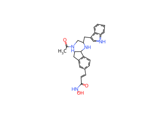 CC(=O)NCC(Cc1c[nH]c2ccccc12)NC1CCc2cc(C=CC(=O)NO)ccc21